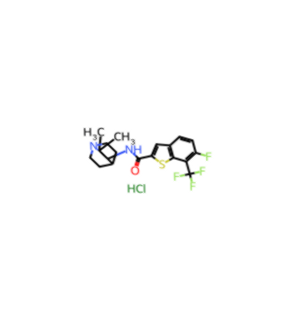 CC1(C)C(NC(=O)c2cc3ccc(F)c(C(F)(F)F)c3s2)C2CCN1CC2.Cl